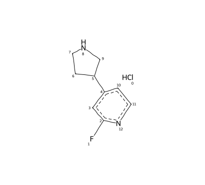 Cl.Fc1cc(C2CCNC2)ccn1